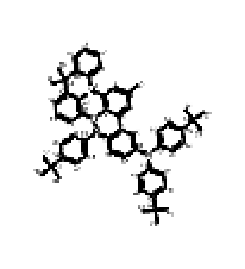 Cc1cc2c3c(c1)N1c4ccccc4C(C)(C)c4cccc(c41)B3N(c1ccc(C(C)(C)C)cc1)c1ccc(N(c3ccc(C(C)(C)C)cc3)c3ccc(C(C)(C)C)cc3)cc1-2